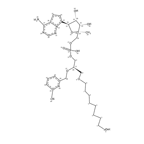 CCCCCCCCCCCCCCCCCCOC[C@H](COP(=O)(O)OC[C@@]1(C)O[C@@H](c2ccc3c(N)ncnn23)[C@H](O)[C@@H]1O)OCc1cccc(C#N)n1